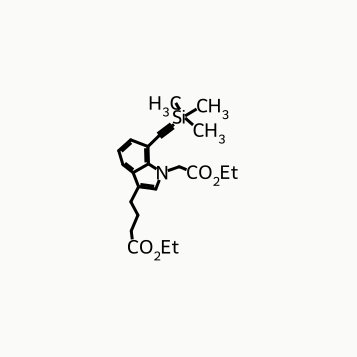 CCOC(=O)CCCc1cn(CC(=O)OCC)c2c(C#C[Si](C)(C)C)cccc12